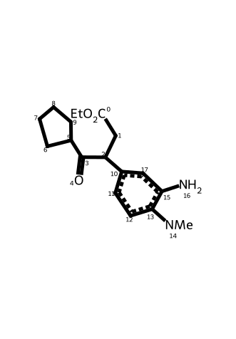 CCOC(=O)CC(C(=O)C1CCCC1)c1ccc(NC)c(N)c1